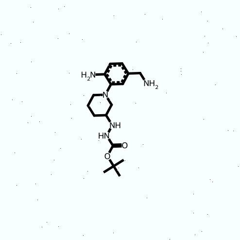 CC(C)(C)OC(=O)NNC1CCCN(c2cc(CN)ccc2N)C1